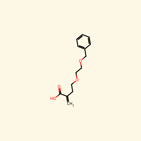 C=C(CCOCCOCc1ccccc1)C(=O)O